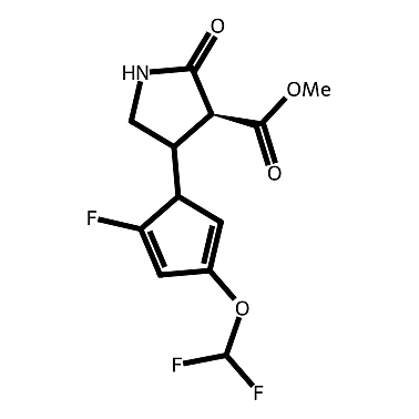 COC(=O)[C@@H]1C(=O)NCC1C1C=C(OC(F)F)C=C1F